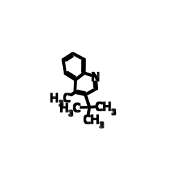 Cc1c(C(C)(C)C)cnc2ccccc12